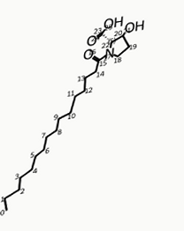 CCCCCCCCCCCCCCCC(=O)N1CCC(O)[C@H]1C(=O)O